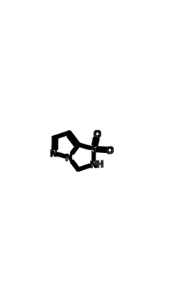 O=S1(=O)NCn2nccc21